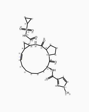 Cn1ccc(C(=O)N[C@H]2CCCCC/C=C\C3C[C@@]3(C(=O)NS(=O)(=O)C3CC3)NC(=O)C3CCCN3C2=O)n1